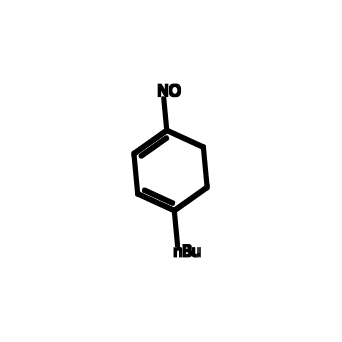 CCCCC1=CC=C(N=O)CC1